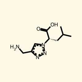 CC(C)C[C@@H](C(=O)O)n1cc(CN)nn1